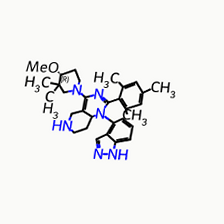 CO[C@@H]1CCN(C2=C3CNCCC3N(c3cccc4[nH]ncc34)C(c3c(C)cc(C)cc3C)=N2)CC1(C)C